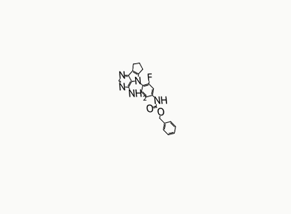 Nc1ncnc2c3c(n(-c4ccc(NC(=O)OCc5ccccc5)cc4F)c12)CCC3